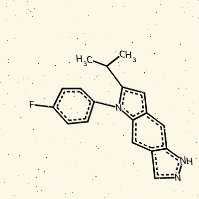 CC(C)c1cc2cc3[nH]ncc3cc2n1-c1ccc(F)cc1